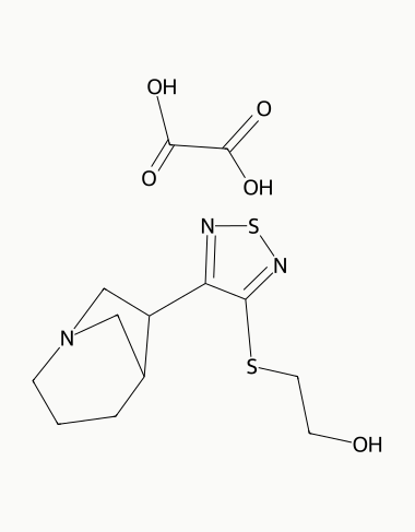 O=C(O)C(=O)O.OCCSc1nsnc1C1CN2CCCC1C2